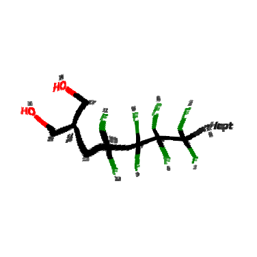 CCCCCCCC(F)(F)C(F)(F)C(F)(F)C(F)(F)CC(CO)CO